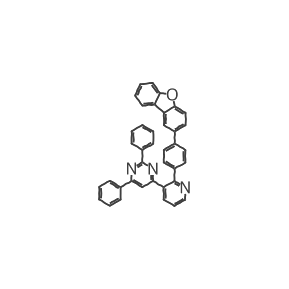 c1ccc(-c2cc(-c3cccnc3-c3ccc(-c4ccc5oc6ccccc6c5c4)cc3)nc(-c3ccccc3)n2)cc1